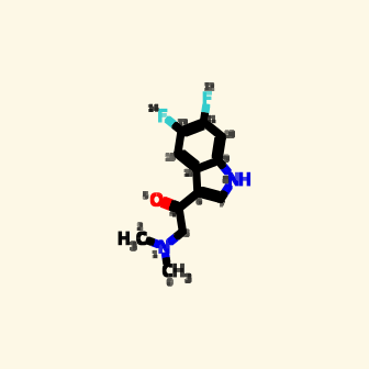 CN(C)CC(=O)c1c[nH]c2cc(F)c(F)cc12